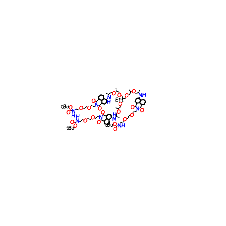 CCC(COCC(C)OCC(C)Nc1ccc2c3c(cccc13)C(=O)N(CCOCCOCCNC(=O)OC(C)(C)C)C2=O)(COCC(C)OCC(C)Nc1ccc2c3c(cccc13)C(=O)N(CCOCCOCCNC(=O)OC(C)(C)C)C2=O)COCC(C)OCC(C)Nc1ccc2c3c(cccc13)C(=O)N(CCOCCOCCNC(=O)OC(C)(C)C)C2=O